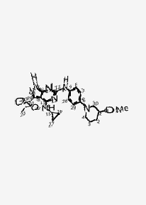 COC1CCCN(c2ccc(Nc3nc(NC4CC4)c4c(S(C)(=O)=O)n[nH]c4n3)cc2)C1